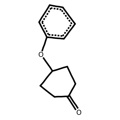 O=C1CCC(Oc2ccccc2)CC1